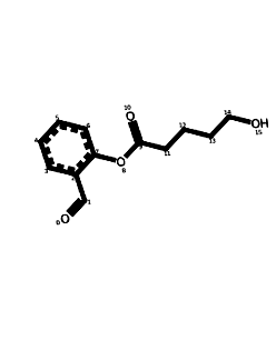 O=Cc1ccccc1OC(=O)CCCCO